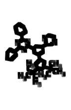 CC(C)(C)c1cc(-c2cc(-c3cnccn3)cc(-c3nc(-c4ccccc4)nc(-c4ccccc4)n3)c2)cc(C(C)(C)C)c1